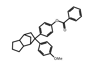 COc1ccc(C2(c3ccc(OC(=O)c4ccccc4)cc3)CC3CC2C2CCCC32)cc1